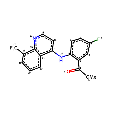 COC(=O)c1cc(F)ccc1Nc1ccnc2c(C(F)(F)F)cccc12